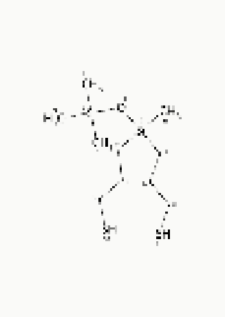 C[Si](C)(C)O[Si](C)(CCCS)CCCS